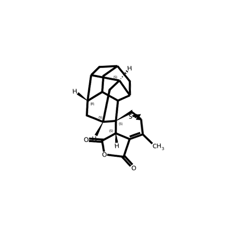 CC1=C2C(=O)OC(=O)[C@@H]2[C@@]2(c3sccc31)C1C3CC4CC1[C@@H]1C[C@@H]2C[C@H]3C1C4